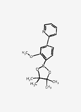 COc1cc(-c2ccccn2)ccc1B1OC(C)(C)C(C)(C)O1